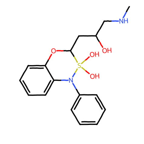 CNCC(O)CC1Oc2ccccc2N(c2ccccc2)S1(O)O